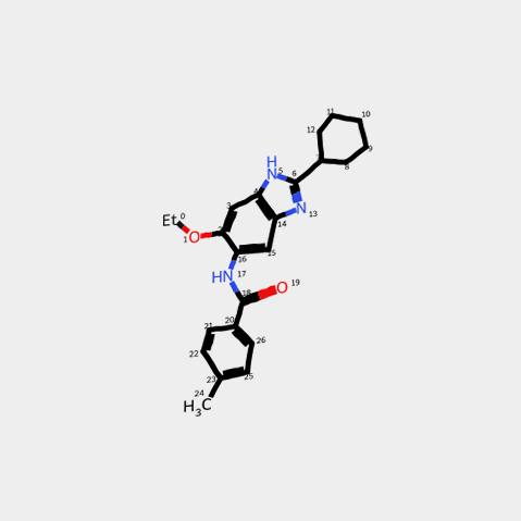 CCOc1cc2[nH]c(C3CCCCC3)nc2cc1NC(=O)c1ccc(C)cc1